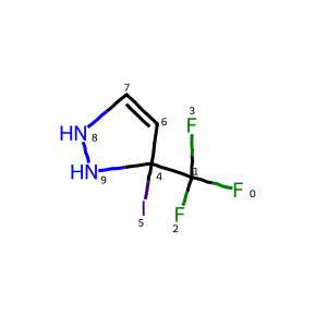 FC(F)(F)C1(I)C=CNN1